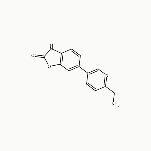 NCc1ccc(-c2ccc3[nH]c(=O)oc3c2)cn1